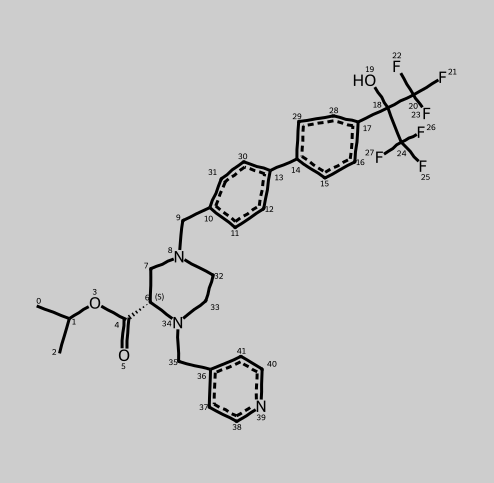 CC(C)OC(=O)[C@@H]1CN(Cc2ccc(-c3ccc(C(O)(C(F)(F)F)C(F)(F)F)cc3)cc2)CCN1Cc1ccncc1